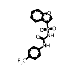 O=C(Nc1ccc(C(F)(F)F)cc1)NS(=O)(=O)c1coc2ccccc12